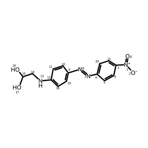 O=[N+]([O-])c1ccc(/N=N/c2ccc(NCC(O)O)cc2)cc1